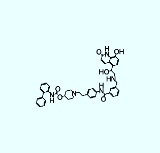 O=C(Nc1ccccc1-c1ccccc1)OC1CCN(CCc2ccc(NC(=O)c3cccc(CNCC(O)c4ccc(O)c5[nH]c(=O)ccc45)c3)cc2)CC1